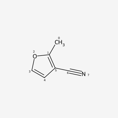 Cc1occc1C#N